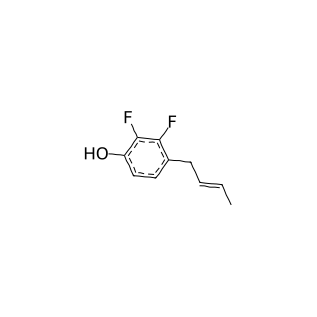 CC=CCc1ccc(O)c(F)c1F